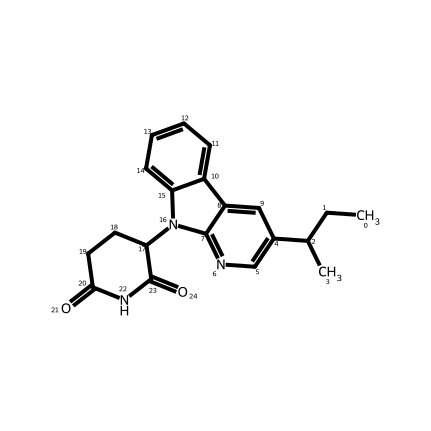 CCC(C)c1cnc2c(c1)c1ccccc1n2C1CCC(=O)NC1=O